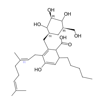 CCCCCC1C=C(O)C(C/C=C(\C)CCC=C(C)C)=C(C[C@@H]2C[C@H](CO)C(O)[C@H](O)C2O)C1C(=O)O